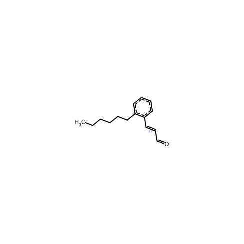 CCCCCCc1ccccc1/C=C/C=O